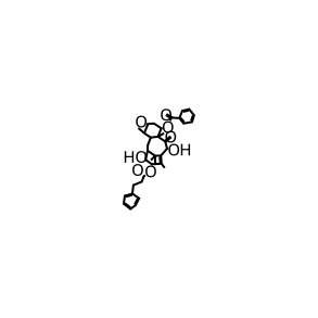 CC1=C2C(O)C(=O)C3(C)C(OC(=O)c4ccccc4)CC4OCC4C3C[C@](O)(C[C@@H]1OC(=O)CCc1ccccc1)C2(C)C